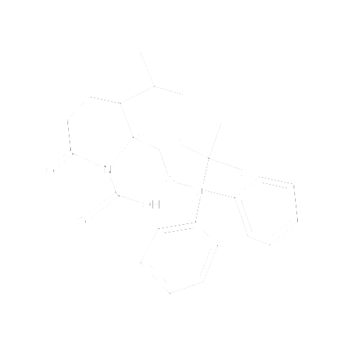 CC(C)C1CCC(=O)N(C(=O)O)C1CO[Si](c1ccccc1)(c1ccccc1)C(C)(C)C